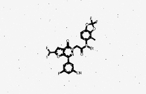 CCN(C(=O)Cn1nc(-c2cc(F)cc(C#N)c2)c2oc(C(F)F)cc2c1=O)c1ccc2c(c1C)OC(F)(F)O2